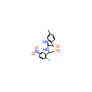 Cc1ccc([C@]2(C)C(=N)N[C@](C)(c3cc([N+](=O)[O-])ccc3F)CS2(=O)=O)cc1